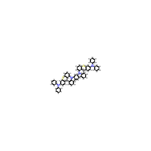 c1ccc(N(c2ccccc2)c2ccc3c(c2)Sc2cccc4c2B3c2cccc3c5cc6c7cccc8c7n(c6cc5n-4c23)-c2cccc3c2B8c2ccc(N(c4ccccc4)c4ccccc4)cc2S3)cc1